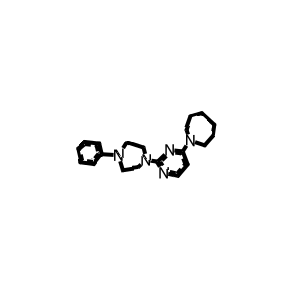 c1ccc(N2CCN(c3nccc(N4CCCCCC4)n3)CC2)cc1